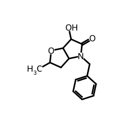 CC1CC2C(O1)C(O)C(=O)N2Cc1ccccc1